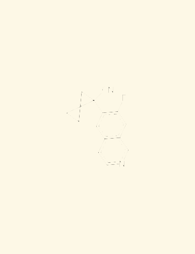 N#CC1(c2cc3ccncc3cc2F)CC12CC2